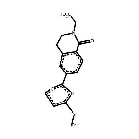 CC(C)Sc1cccc(-c2ccc3c(c2)CCN(CC(=O)O)C3=O)n1